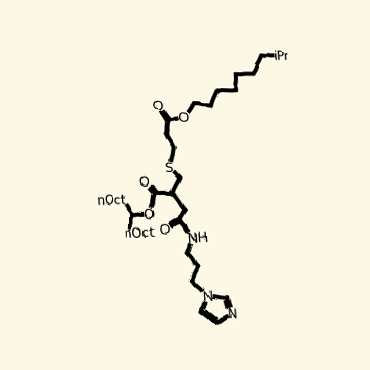 CCCCCCCCC(CCCCCCCC)OC(=O)C(CSCCC(=O)OCCCCCCCC(C)C)CC(=O)NCCCn1ccnc1